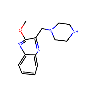 COc1nc2ccccc2nc1CN1CCNCC1